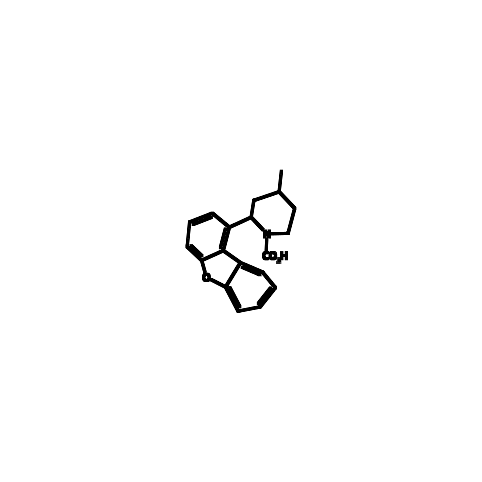 CC1CCN(C(=O)O)C(c2cccc3oc4ccccc4c23)C1